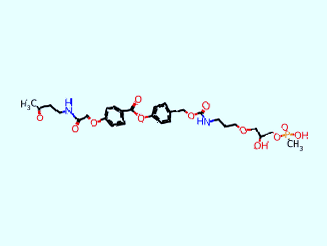 CC(=O)CCNC(=O)COc1ccc(C(=O)Oc2ccc(COC(=O)NCCCOCC(O)COP(C)(=O)O)cc2)cc1